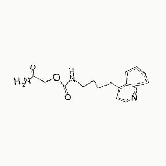 NC(=O)COC(=O)NCCCCc1ccnc2ccccc12